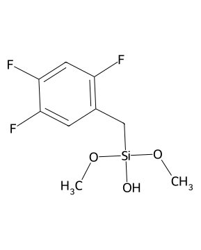 CO[Si](O)(Cc1cc(F)c(F)cc1F)OC